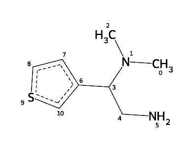 CN(C)C(CN)c1ccsc1